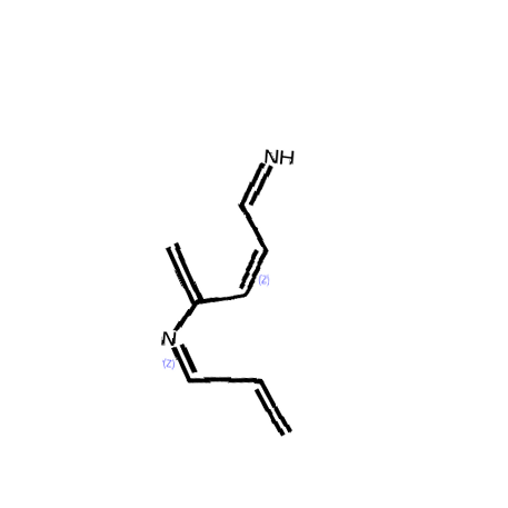 C=C/C=N\C(=C)/C=C\C=N